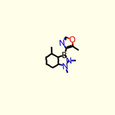 Cc1ocnc1B1C2C(C)CCCC2N(C)N1C